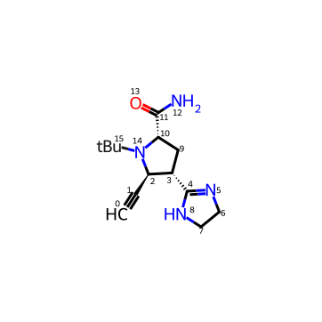 C#C[C@@H]1[C@@H](C2=NCCN2)C[C@@H](C(N)=O)N1C(C)(C)C